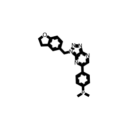 CP(C)c1ccc(-c2cnc3nnn(Cc4ccc5c(c4)CCO5)c3n2)cc1